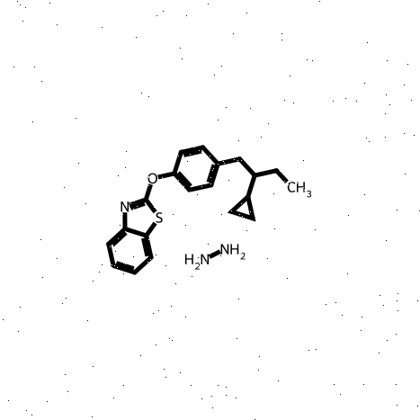 CCC(Cc1ccc(Oc2nc3ccccc3s2)cc1)C1CC1.NN